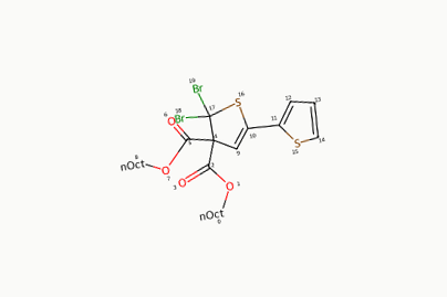 CCCCCCCCOC(=O)C1(C(=O)OCCCCCCCC)C=C(c2cccs2)SC1(Br)Br